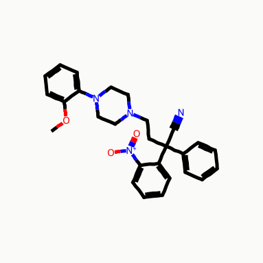 COc1ccccc1N1CCN(CCC(C#N)(c2ccccc2)c2ccccc2[N+](=O)[O-])CC1